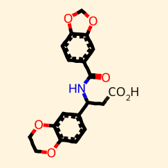 O=C(O)CC(NC(=O)c1ccc2c(c1)OCO2)c1ccc2c(c1)OCCO2